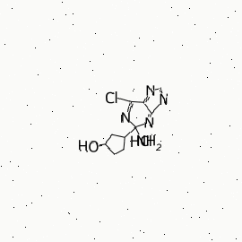 Cl.NC1(C2CCC(O)C2)N=C(Cl)C2=NC=NC2=N1